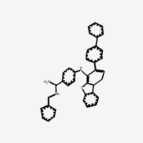 NC(NCc1ccccc1)c1ccc(NC2=C3Sc4ccccc4C3CC=C2c2ccc(-c3ccccc3)cc2)cc1